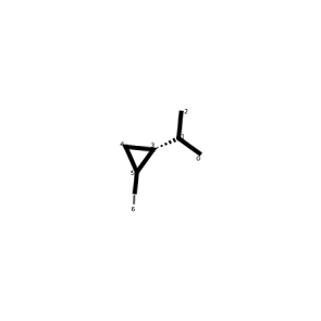 CC(C)[C@H]1CC1I